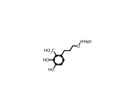 CCCCCCCOCCCc1ccc(O)c(O)c1C(=O)O